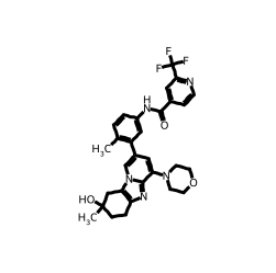 Cc1ccc(NC(=O)c2ccnc(C(F)(F)F)c2)cc1-c1cc(N2CCOCC2)c2nc3c(n2c1)CC(C)(O)CC3